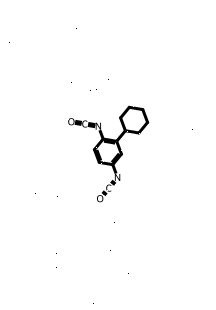 O=C=Nc1ccc(N=C=O)c(C2CCCCC2)c1